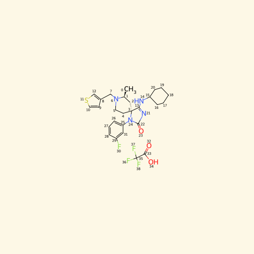 C[C@H]1C[C@]2(CCN1Cc1ccsc1)C(NC1CCCCC1)=NC(=O)N2c1cccc(F)c1.O=C(O)C(F)(F)F